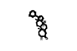 C[C@]12CCC3[C@@H](CCC4=CC(=O)NCC[C@@]43C)C1=CC=C2c1cccnc1